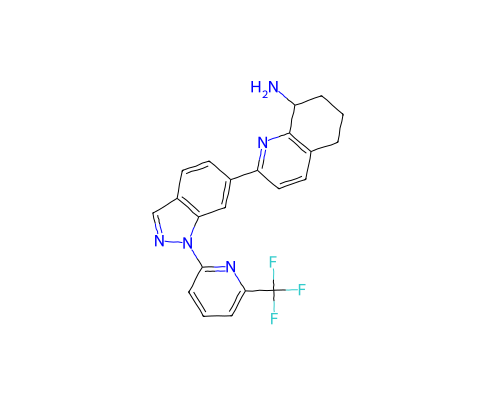 NC1CCCc2ccc(-c3ccc4cnn(-c5cccc(C(F)(F)F)n5)c4c3)nc21